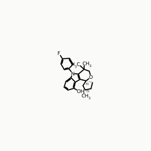 C[C@H]1CC[C@@]2(C1)OCC(C)(C)c1c2c2c(O)cccc2n1-c1ccc(F)cc1